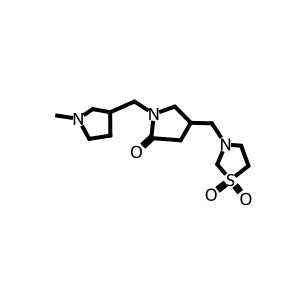 CN1CCC(CN2CC(CN3CCS(=O)(=O)C3)CC2=O)C1